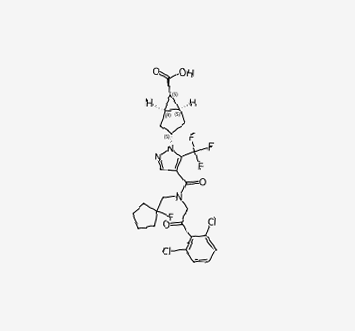 O=C(CN(CC1(F)CCCC1)C(=O)c1cnn([C@@H]2C[C@@H]3[C@H](C2)[C@@H]3C(=O)O)c1C(F)(F)F)c1c(Cl)cccc1Cl